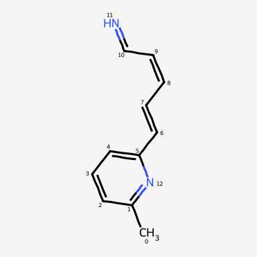 Cc1cccc(/C=C/C=C\C=N)n1